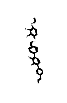 C/C=C/c1ccc(-c2ccc(-c3ccc(COc4ccc(OCC)c(F)c4F)cc3)c(F)c2F)cc1